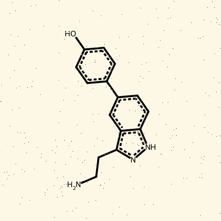 NCCc1n[nH]c2ccc(-c3ccc(O)cc3)cc12